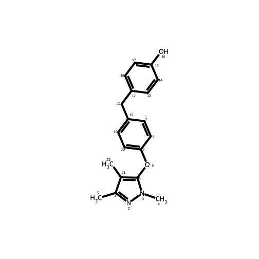 Cc1nn(C)c(Oc2ccc(Cc3ccc(O)cc3)cc2)c1C